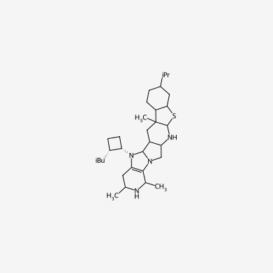 CCC(C)[C@@H]1CC[C@@H]1N1C2=C(C(C)NC(C)C2)N2CC3NC4SC5CC(C(C)C)CCC5C4(C)CC3C21